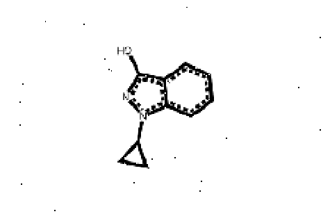 Oc1nn(C2CC2)c2ccccc12